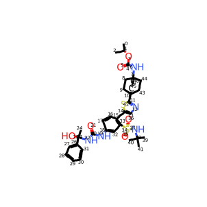 CC(C)OC(=O)NC12CCC(c3ncc(-c4ccc(NC(=O)NC(C)(O)c5ccccc5)cc4S(=O)(=O)NC(C)(C)C)s3)(CC1)CC2